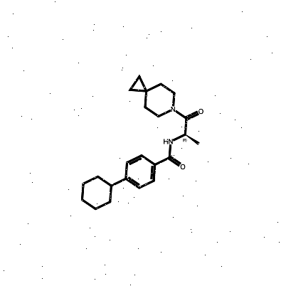 C[C@@H](NC(=O)c1ccc(C2CCCCC2)cc1)C(=O)N1CCC2(CC1)CC2